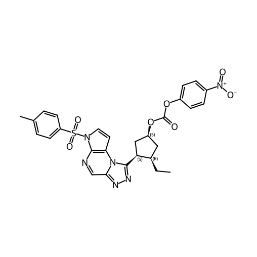 CC[C@@H]1C[C@H](OC(=O)Oc2ccc([N+](=O)[O-])cc2)C[C@@H]1c1nnc2cnc3c(ccn3S(=O)(=O)c3ccc(C)cc3)n12